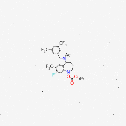 CC(=O)N(Cc1cc(C(F)(F)F)cc(C(F)(F)F)c1)C1CCCN(OC(=O)OC(C)C)c2cc(F)c(C(F)(F)F)cc21